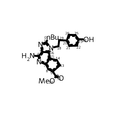 CCCCc1nc2c(N)nc3cc(C(=O)OC)ccc3c2n1CCc1ccc(O)cc1